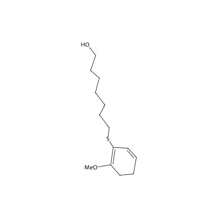 COC1=C(SCCCCCCCO)C=CCC1